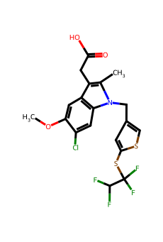 COc1cc2c(CC(=O)O)c(C)n(Cc3csc(SC(F)(F)C(F)F)c3)c2cc1Cl